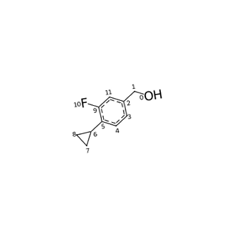 OCc1ccc(C2CC2)c(F)c1